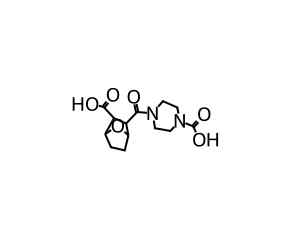 O=C(O)C1C2CCC(O2)C1C(=O)N1CCN(C(=O)O)CC1